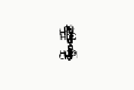 C#CCC(NC(=O)OC(C)(C)C)C(=O)Nc1ccc(C2CCN(C(=O)Nc3c(Cl)cccc3Cl)CC2)cc1